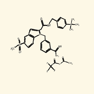 CC(=O)OC(=O)C(F)(F)F.C[N+](C)(C)c1ccc(CNC(=O)c2cc3cc(S(C)(=O)=O)ccc3n2Cc2cccc(C(=N)N)c2)cc1